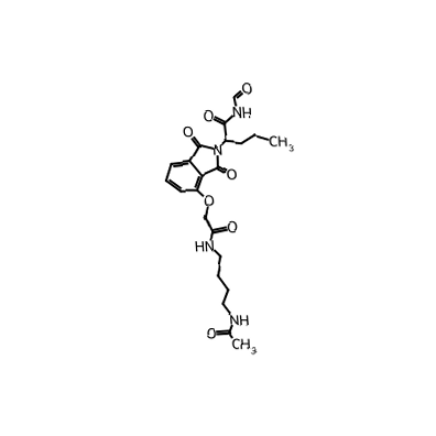 CCCC(C(=O)NC=O)N1C(=O)c2cccc(OCC(=O)NCCCCNC(C)=O)c2C1=O